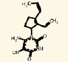 C=CC1=C(/C=C\C)CCC1n1c(N)c(N=O)c(=O)[nH]c1=O